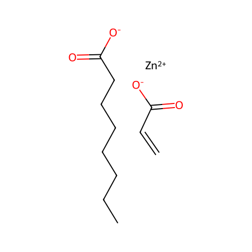 C=CC(=O)[O-].CCCCCCCC(=O)[O-].[Zn+2]